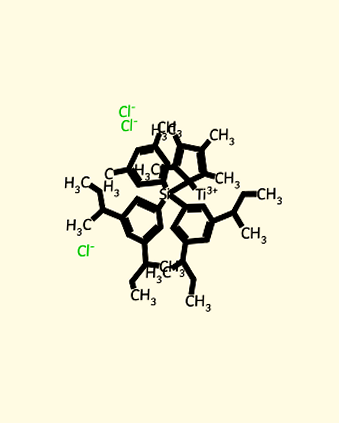 CCC(C)c1cc(C(C)CC)cc([Si](c2cc(C)cc(C)c2)(c2cc(C(C)CC)cc(C(C)CC)c2)[C]2([Ti+3])C(C)=C(C)C(C)=C2C)c1.[Cl-].[Cl-].[Cl-]